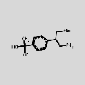 CCCC(C)(O)c1ccc(C(CP)CC(C)(C)C)cc1